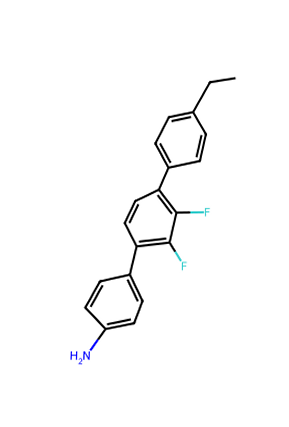 CCc1ccc(-c2ccc(-c3ccc(N)cc3)c(F)c2F)cc1